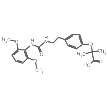 COc1cccc(OC)c1NC(=O)NCCc1ccc(OC(C)(C)C(=O)O)cc1